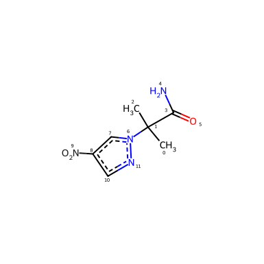 CC(C)(C(N)=O)n1cc([N+](=O)[O-])cn1